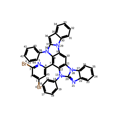 Brc1cc(Br)nc(-c2c3c(cc4c2n(-c2ccccc2)c2nc5ccccc5n42)n2c4ccccc4cc2n3-c2ccccc2)c1